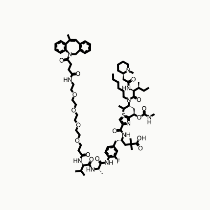 CCCCCCN(C(=O)[C@@H](NC(=O)C[C@H]1CCCCN1C)[C@@H](C)CC)[C@H](C[C@@H](OC(=O)NC)c1nc(C(=O)N[C@@H](Cc2ccc(NC(=O)[C@H](C)NC(=O)[C@@H](NC(=O)CCOCCOCCOCCOCCNC(=O)CCC(=O)N3Cc4ccccc4/C=C(/C)c4ccccc43)C(C)C)c(F)c2)CC(C)(C)C(=O)O)cs1)C(C)C